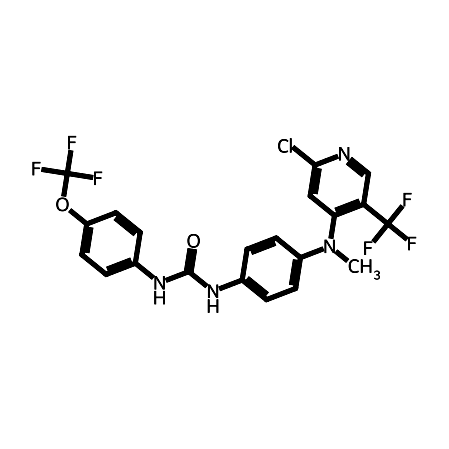 CN(c1ccc(NC(=O)Nc2ccc(OC(F)(F)F)cc2)cc1)c1cc(Cl)ncc1C(F)(F)F